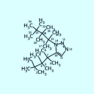 CC(C)(C)C(C)(C)C(C)(C)c1cnnn1C(C)(C)C(C)(C)C(C)(C)C